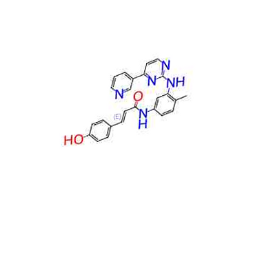 Cc1ccc(NC(=O)/C=C/c2ccc(O)cc2)cc1Nc1nccc(-c2cccnc2)n1